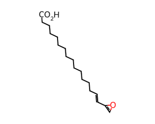 O=C(O)CCCCCCCCCCCCCC=CC1=CO1